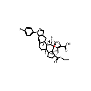 CCSC(=O)[C@@]1(Cc2nnsc2C(=O)O)CC[C@H]2[C@@H]3CCC4=Cc5c(cnn5-c5ccc(F)cc5)C[C@]4(C)[C@H]3[C@@H](O)C[C@@]21C